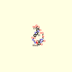 CCc1c2c(nc3ccc(OC(=O)N(C)CCN(C)C(=O)OCc4c5c(n(CC(=O)NCCOCCO)c4C)C(=O)C=C(OC)C5=O)cc13)-c1cc3c(c(=O)n1C2)COC(=O)C3(O)CC